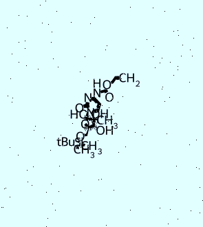 C=CCOC(=O)Nc1ccn([C@]2(O)O[C@H](CO[Si](C)(C)C(C)(C)C)[C@@H](O)[C@@]2(C)O)c(=O)n1